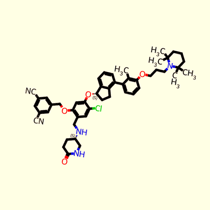 Cc1c(OCCCN2C(C)(C)CCCC2(C)C)cccc1-c1cccc2c1CC[C@@H]2Oc1cc(OCc2cc(C#N)cc(C#N)c2)c(CN[C@H]2CCC(=O)NC2)cc1Cl